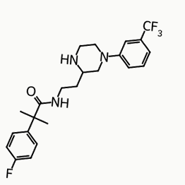 CC(C)(C(=O)NCCC1CN(c2cccc(C(F)(F)F)c2)CCN1)c1ccc(F)cc1